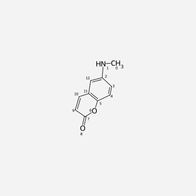 CNc1ccc2oc(=O)ccc2c1